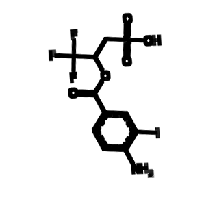 Nc1ccc(C(=O)OC(CS(=O)(=O)O)C(F)(F)F)cc1I